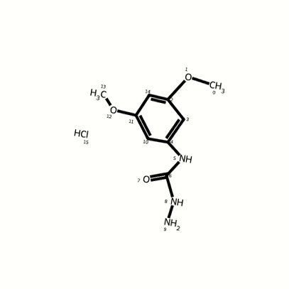 COc1cc(NC(=O)NN)cc(OC)c1.Cl